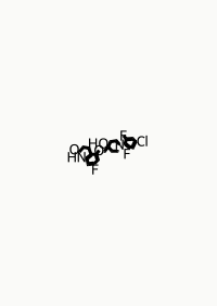 O=C1CCc2c(cc(F)cc2OCC2(O)CCN(c3c(F)cc(Cl)cc3F)CC2)N1